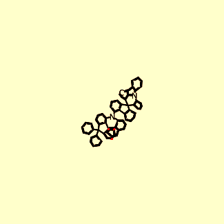 c1ccc(C2(c3ccccc3)c3ccccc3-c3c(N(c4cccc5c4-c4ccccc4C54c5ccccc5-n5c6ccccc6c6cccc4c65)c4cccc5ccccc45)cccc32)cc1